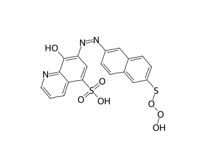 O=S(=O)(O)c1cc(/N=N\c2ccc3cc(SOOO)ccc3c2)c(O)c2ncccc12